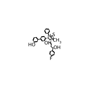 CN1C(=S)N(c2ccccc2)[C@H](c2ccc(-c3cccc(O)c3)cc2O)[C@H]1CCC[C@@H](O)c1ccc(F)cc1